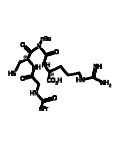 CCCCN(C(=O)N[C@@H](CCCNC(=N)N)C(=O)O)C(=O)[C@H](CS)NC(=O)CNC(=O)CCC